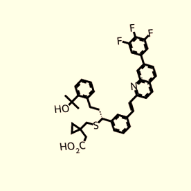 CC(C)(O)c1ccccc1CC[C@@H](SCC1(CC(=O)O)CC1)c1cccc(/C=C/c2ccc3ccc(-c4cc(F)c(F)c(F)c4)cc3n2)c1